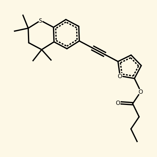 CCCC(=O)Oc1ccc(C#Cc2ccc3c(c2)C(C)(C)CC(C)(C)S3)o1